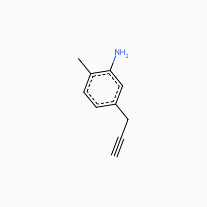 C#CCc1ccc(C)c(N)c1